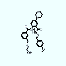 COc1ccc(C=NNC(=O)c2cc(N3CCCCC3)ccc2NC(=O)c2cccc(CSCCO)c2)cc1